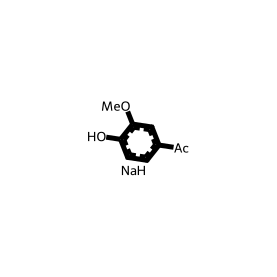 COc1cc(C(C)=O)ccc1O.[NaH]